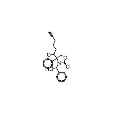 C#CCCCC(=O)C1(c2ccccc2)COC(=O)N1C(O)c1ccccc1